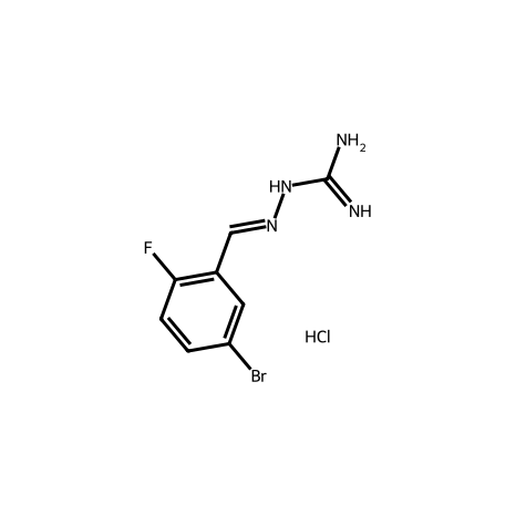 Cl.N=C(N)N/N=C/c1cc(Br)ccc1F